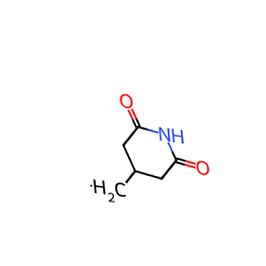 [CH2]C1CC(=O)NC(=O)C1